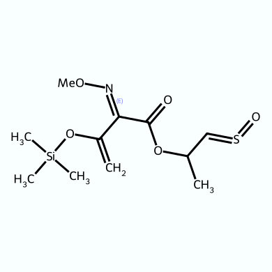 C=C(O[Si](C)(C)C)/C(=N\OC)C(=O)OC(C)C=S=O